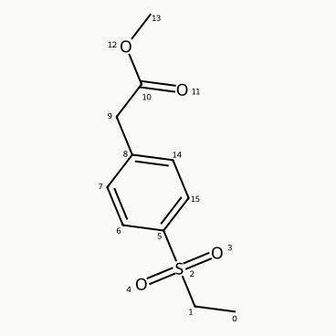 CCS(=O)(=O)c1ccc(CC(=O)OC)cc1